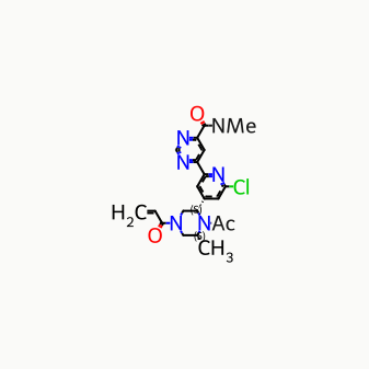 C=CC(=O)N1C[C@H](c2cc(Cl)nc(-c3cc(C(=O)NC)ncn3)c2)N(C(C)=O)[C@@H](C)C1